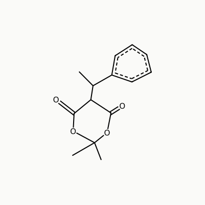 CC(c1ccccc1)C1C(=O)OC(C)(C)OC1=O